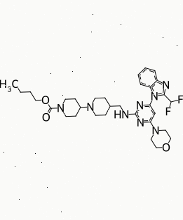 CCCCOC(=O)N1CCC(N2CCC(CNc3nc(N4CCOCC4)cc(-n4c(C(F)F)nc5ccccc54)n3)CC2)CC1